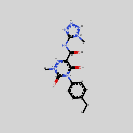 CCc1ccc(-n2c(=O)c(C(=O)Nc3nnnn3C)nn(C)c2=O)cc1